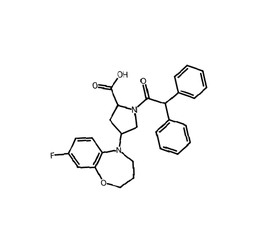 O=C(O)C1CC(N2CCCOc3cc(F)ccc32)CN1C(=O)C(c1ccccc1)c1ccccc1